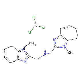 Cn1c(CNCc2nc3c(n2C)CCC=C3)nc2c1CCC=C2.[Cl][Cr]([Cl])[Cl]